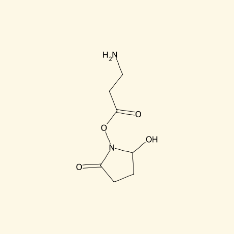 NCCC(=O)ON1C(=O)CCC1O